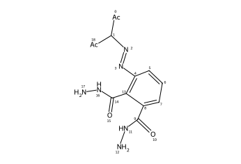 CC(=O)C(N=Nc1cccc(C(=O)NN)c1C(=O)NN)C(C)=O